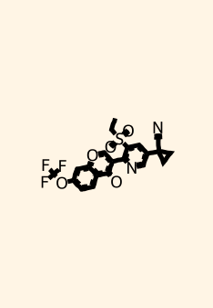 CCS(=O)(=O)c1cc(C2(C#N)CC2)cnc1-c1coc2cc(OC(F)(F)F)ccc2c1=O